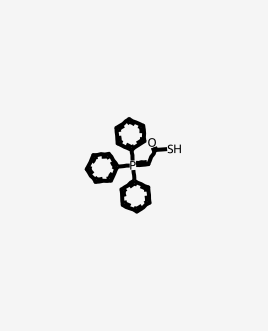 O=C(S)C=P(c1ccccc1)(c1ccccc1)c1ccccc1